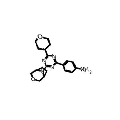 Nc1ccc(-c2nc(C3CCOCC3)nc(N3C4CCC3COC4)n2)cc1